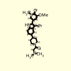 COc1cc(-c2[nH]c3ccc(C4CCN(C(=O)CN(C)C)CC4)cc3c2C(C)C)cn(C)c1=O